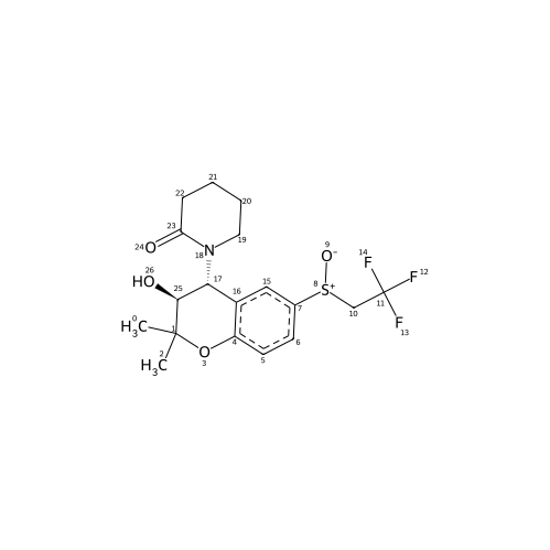 CC1(C)Oc2ccc([S+]([O-])CC(F)(F)F)cc2[C@@H](N2CCCCC2=O)[C@@H]1O